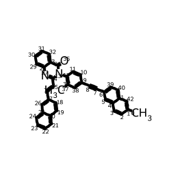 Cc1ccc2cc(C#Cc3ccc(-n4c(/C=C/c5ccc6ccccc6c5)nc5ccccc5c4=O)c(C)c3)ccc2c1